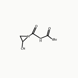 CC(C)(C)C(=O)NC(=O)N1CC1C#N